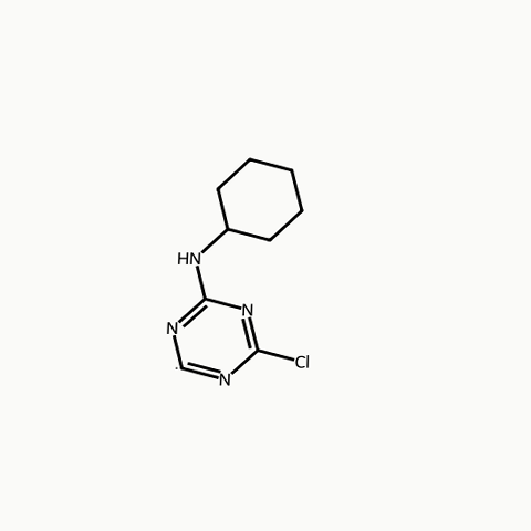 Clc1n[c]nc(NC2CCCCC2)n1